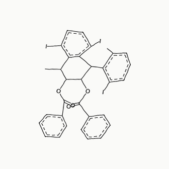 Cc1cccc(I)c1C1c2c(I)ccc(I)c2C(C)C(OC(=O)c2ccccc2)C1OC(=O)c1ccccc1